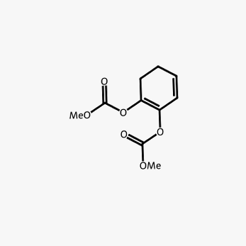 COC(=O)OC1=C(OC(=O)OC)CCC=C1